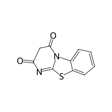 O=C1CC(=O)N2C(=N1)Sc1ccccc12